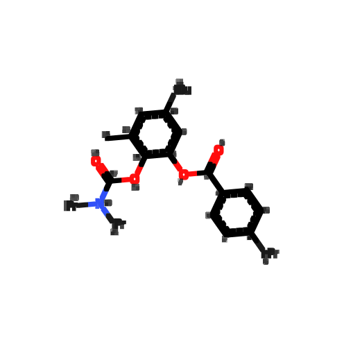 CCCc1ccc(C(=O)Oc2cc(C(C)(C)C)cc(C)c2OC(=O)N(C(C)C)C(C)C)cc1